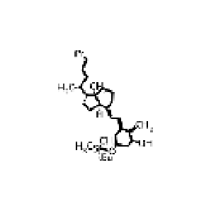 C=C1/C(=C/C=C2\CCC[C@]3(C)[C@@H]([C@H](C)CCCC(C)C)CC[C@@H]23)CC(O[Si](C)(C)C(C)(C)C)C[C@@H]1O